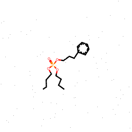 CCCCOP(=O)(OCCCC)OCCCc1ccccc1